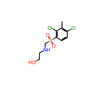 Cc1c(Cl)ccc(S(=O)(=O)CNCCO)c1Cl